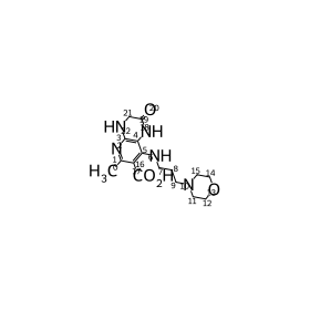 Cc1nc2c(c(NCCCN3CCOCC3)c1C(=O)O)NC(=O)CN2